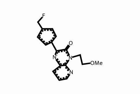 COCCn1c(=O)c(-c2ccc(CF)cc2)nc2cccnc21